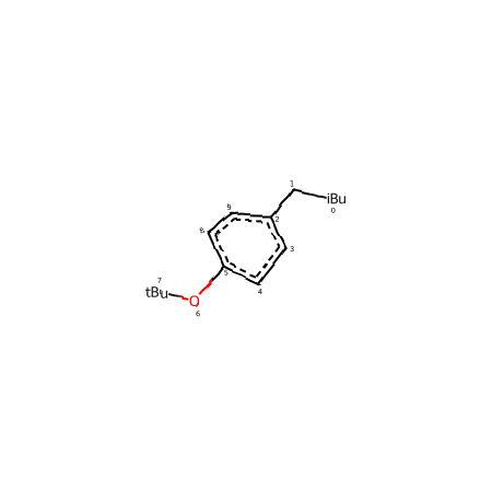 CCC(C)Cc1ccc(OC(C)(C)C)cc1